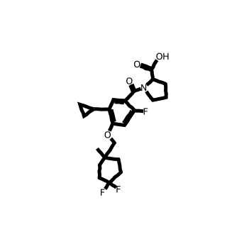 CC1(COc2cc(F)c(C(=O)N3CCCC3C(=O)O)cc2C2CC2)CCC(F)(F)CC1